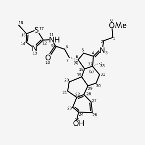 COCCN=C1C[C@@H](CCC(=O)Nc2ncc(C)s2)C2C3CCc4cc(O)ccc4C3CC[C@]12C